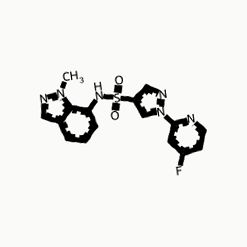 Cn1ncc2cccc(NS(=O)(=O)c3cnn(-c4cc(F)ccn4)c3)c21